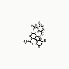 NC(=O)c1cccc2c1c1[c]ccc(F)c1n2Cc1ccc(F)c(C(F)(F)F)c1